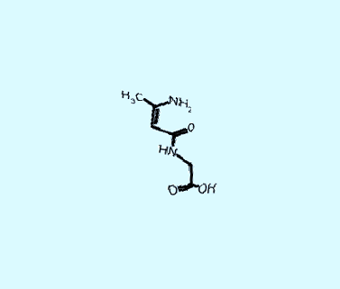 CC(N)=CC(=O)NCC(=O)O